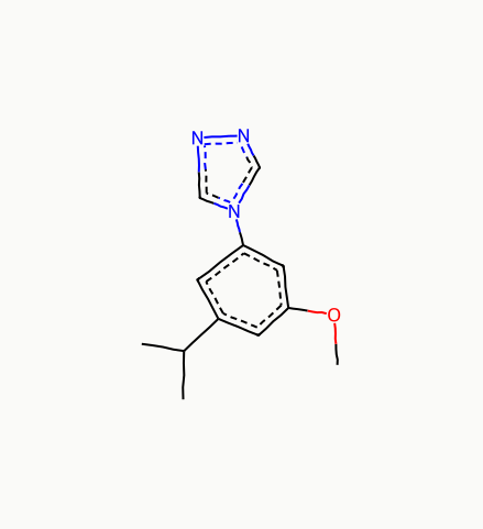 COc1cc(C(C)C)cc(-n2cnnc2)c1